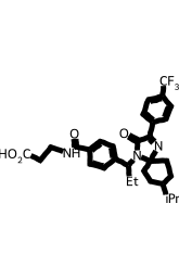 CCC(c1ccc(C(=O)NCCC(=O)O)cc1)N1C(=O)C(c2ccc(C(F)(F)F)cc2)=NC12CCC(C(C)C)CC2